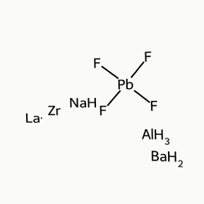 [AlH3].[BaH2].[F][Pb]([F])([F])[F].[La].[NaH].[Zr]